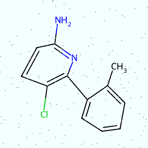 Cc1ccccc1-c1nc(N)ccc1Cl